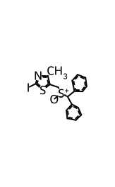 Cc1nc(I)sc1C[S+]([O-])C(c1ccccc1)c1ccccc1